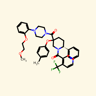 COCCOc1ccccc1N1CCN(C(=O)C2(Oc3ccc(C)cc3)CC[C@H](c3ccccc3)N(C(=O)c3cnccc3C(F)(F)F)C2)CC1